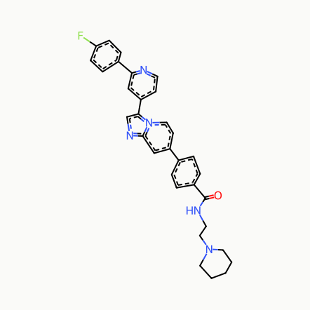 O=C(NCCN1CCCCC1)c1ccc(-c2ccn3c(-c4ccnc(-c5ccc(F)cc5)c4)cnc3c2)cc1